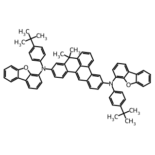 CC(C)(C)c1ccc(N(c2ccc3c(c2)C(C)(C)c2cccc4c2c-3cc2ccc(N(c3ccc(C(C)(C)C)cc3)c3cccc5c3oc3ccccc35)cc24)c2cccc3c2oc2ccccc23)cc1